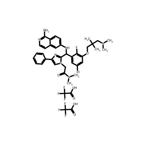 CCc1cc(OCC(C)(C)CN(C)C)c(F)c(C(Nc2ccc3c(N)nccc3c2)c2nc(-c3ccccc3)cn2CC(=O)N(C)C)c1.O=C(O)C(F)(F)F.O=C(O)C(F)(F)F